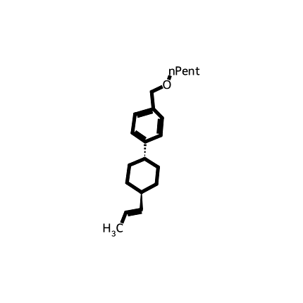 CC=C[C@H]1CC[C@H](c2ccc(COCCCCC)cc2)CC1